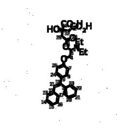 CCN(CC)C(COc1ccc(C(=Cc2ccccc2)c2ccccc2)cc1)OC(=O)CC(O)(CC(=O)O)C(=O)O